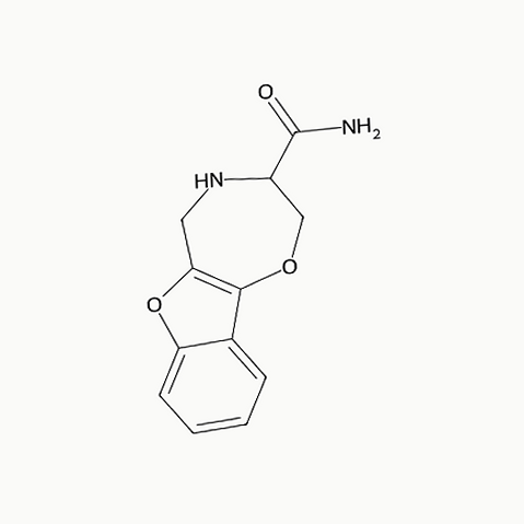 NC(=O)C1COc2c(oc3ccccc23)CN1